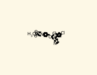 CS(=O)(=O)N1CCN(c2ccc(CO[C@H]3CO[C@](Cn4ccnc4)(c4ccc(Cl)cc4Cl)OC3)cc2)CC1